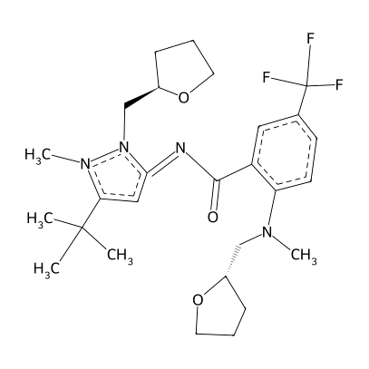 CN(C[C@@H]1CCCO1)c1ccc(C(F)(F)F)cc1C(=O)/N=c1\cc(C(C)(C)C)n(C)n1C[C@H]1CCCO1